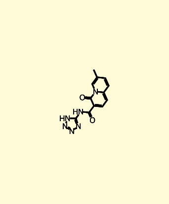 Cc1ccc2ccc(C(=O)Nc3nnn[nH]3)c(=O)n2c1